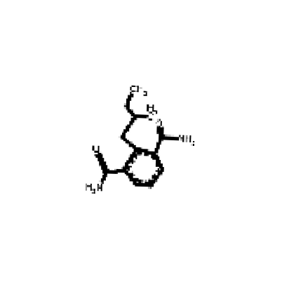 CCC(C)Cc1c(C(N)=O)cccc1C(N)=O